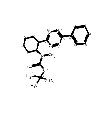 CN(C(=O)OC(C)(C)C)C1CCCCC1c1nnc(-c2ccccc2)nn1